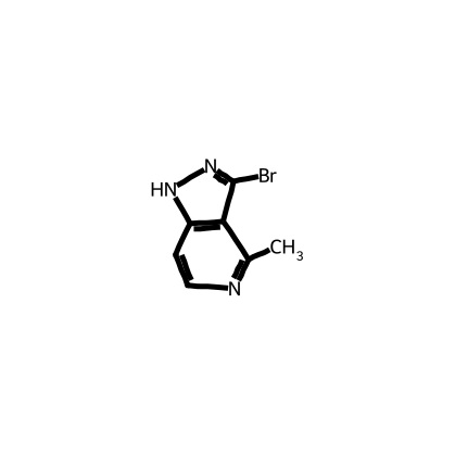 Cc1nccc2[nH]nc(Br)c12